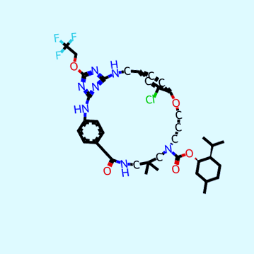 CC1CC[C@H](C(C)C)[C@@H](OC(=O)N2CCCOc3ccc(cc3Cl)CNc3nc(nc(OCC(F)(F)F)n3)Nc3ccc(cc3)C(=O)NCC(C)(C)C2)C1